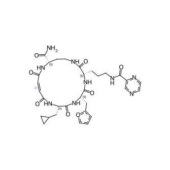 NC(=O)[C@@H]1CCNC(=O)[C@H](CCCNC(=O)c2cnccn2)NC(=O)[C@H](Cc2ccco2)NC(=O)[C@H](CC2CC2)NC(=O)/C=C\C(=O)N1